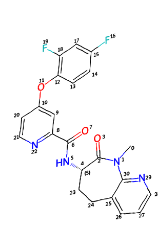 CN1C(=O)[C@@H](NC(=O)c2cc(Oc3ccc(F)cc3F)ccn2)CCc2cccnc21